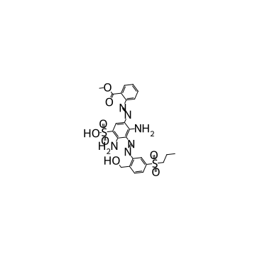 CCCS(=O)(=O)c1ccc(CO)c(/N=N/c2c(N)c(/N=N/c3ccccc3C(=O)OC)cc(S(=O)(=O)O)c2N)c1